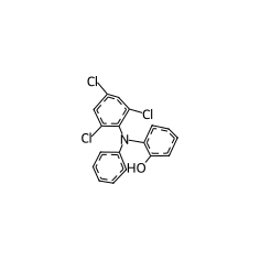 Oc1ccccc1N(c1ccccc1)c1c(Cl)cc(Cl)cc1Cl